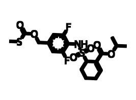 CSC(=O)OCc1cc(F)c(NS(=O)(=O)C2CCCC=C2C(=O)OC(C)C)c(F)c1